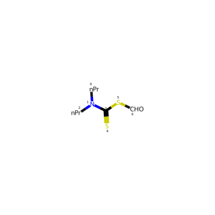 CCCN(CCC)C(=S)SC=O